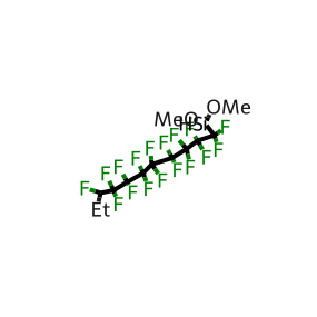 CCC(F)C(F)(F)C(F)(F)C(F)(F)C(F)(F)C(F)(F)C(F)(F)C(F)(F)C(F)(F)[SiH](OC)OC